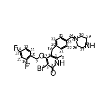 Cc1[nH]c(=O)c(Br)c(OCc2ccc(F)cc2F)c1Cc1ccc(CN2CCNCC2)cc1